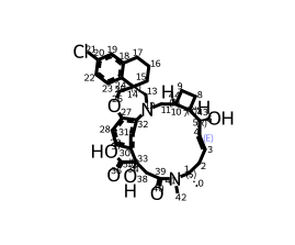 C[C@H]1C/C=C/[C@H](O)[C@@H]2CC[C@H]2CN2C[C@@]3(CCCc4cc(Cl)ccc43)COc3ccc(cc32)[C@@](O)(C(=O)O)CC(=O)N1C